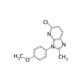 COc1ccc(-n2c(C)nc3ccc(Cl)nc32)cc1